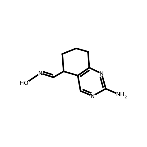 Nc1ncc2c(n1)CCCC2C=NO